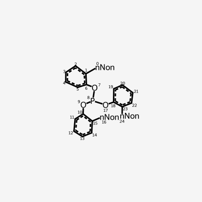 CCCCCCCCCc1ccccc1OP(Oc1ccccc1CCCCCCCCC)Oc1ccccc1CCCCCCCCC